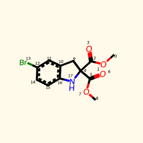 COC(=O)C1(C(=O)OC)Cc2cc(Br)ccc2N1